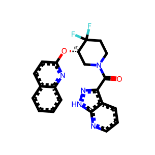 O=C(c1n[nH]c2ncccc12)N1CCC(F)(F)[C@@H](Oc2ccc3ccccc3n2)C1